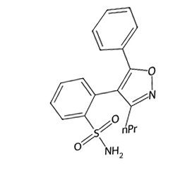 CCCc1noc(-c2ccccc2)c1-c1ccccc1S(N)(=O)=O